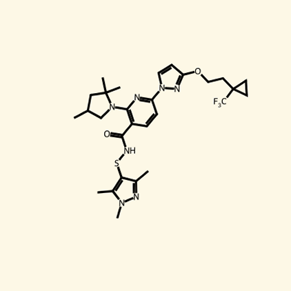 Cc1nn(C)c(C)c1SNC(=O)c1ccc(-n2ccc(OCCC3(C(F)(F)F)CC3)n2)nc1N1CC(C)CC1(C)C